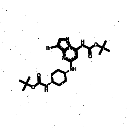 CC(C)(C)OC(=O)Nc1cc(N[C@H]2CC[C@@H](NC(=O)OC(C)(C)C)CC2)nc2c(Br)cnn12